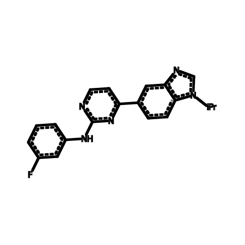 CC(C)n1cnc2cc(-c3ccnc(Nc4cccc(F)c4)n3)ccc21